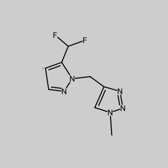 Cn1cc(Cn2nc[c]c2C(F)F)nn1